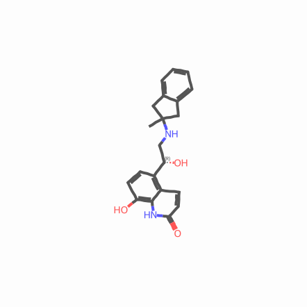 CC1(NC[C@H](O)c2ccc(O)c3[nH]c(=O)ccc23)Cc2ccccc2C1